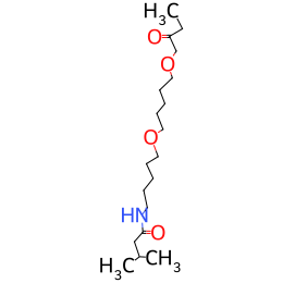 CCC(=O)COCCCCCOCCCCCNC(=O)CC(C)C